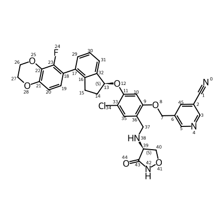 N#Cc1cncc(COc2cc(O[C@H]3CCc4c(-c5ccc6c(c5F)OCCO6)cccc43)c(Cl)cc2CN[C@H]2CONC2=O)c1